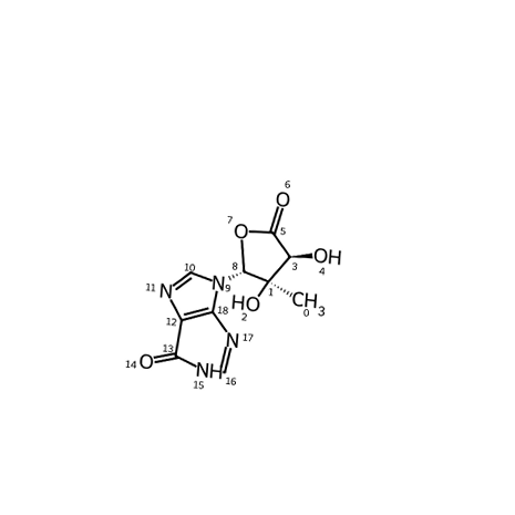 C[C@@]1(O)[C@H](O)C(=O)O[C@H]1n1cnc2c(=O)[nH]cnc21